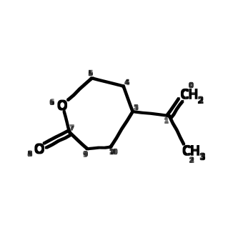 C=C(C)C1CCOC(=O)CC1